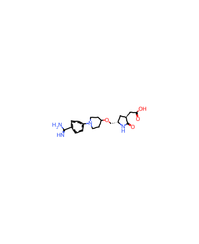 N=C(N)c1ccc(N2CCC(OC[C@@H]3C[C@@H](CC(=O)O)C(=O)N3)CC2)cc1